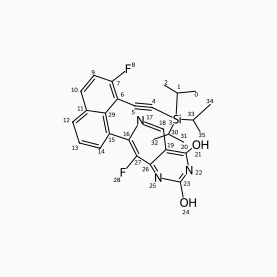 CC(C)[Si](C#Cc1c(F)ccc2cccc(-c3ncc4c(O)nc(O)nc4c3F)c12)(C(C)C)C(C)C